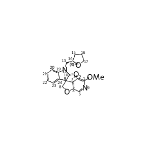 COc1cc2c(cn1)OCC21C(=O)N(C[C@H]2CCCO2)c2ccccc21